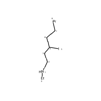 CCNCCC(I)CCC(C)C